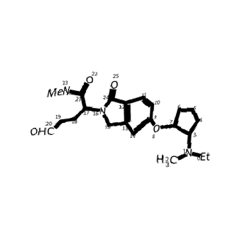 CCN(C)C1CCCC1Oc1ccc2c(c1)CN(C(CCC=O)C(=O)NC)C2=O